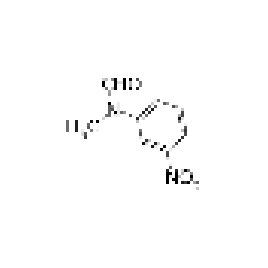 CN(C=O)c1cccc([N+](=O)[O-])c1